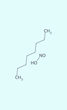 CCCCCCCC.O=NO